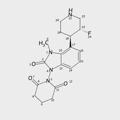 Cn1c(=O)n(N2C(=O)CCCC2=O)c2cccc([C@H]3CCNC[C@@H]3F)c21